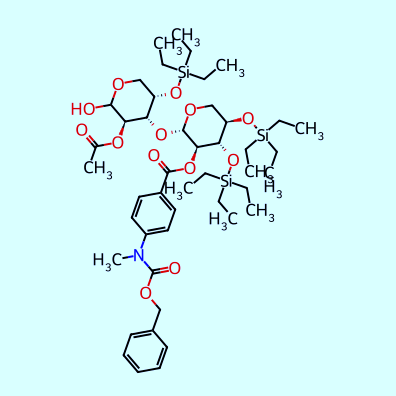 CC[Si](CC)(CC)O[C@@H]1[C@@H](OC(=O)c2ccc(N(C)C(=O)OCc3ccccc3)cc2)[C@H](O[C@H]2[C@@H](O[Si](CC)(CC)CC)COC(O)[C@@H]2OC(C)=O)OC[C@H]1O[Si](CC)(CC)CC